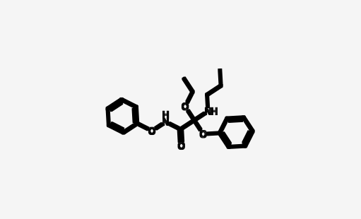 CCCNC(OCC)(Oc1ccccc1)C(=O)NOc1ccccc1